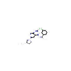 CC(=O)N[C@@H]1CCN(c2cc3c(NC(C)c4cccc(Cl)c4)nc(C)nc3cn2)C1